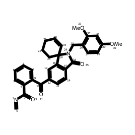 C=NC(=O)c1ccccc1C(=O)c1ccc2c(c1)C1(C=CCCC1)N(Cc1ccc(OC)cc1OC)C2=O